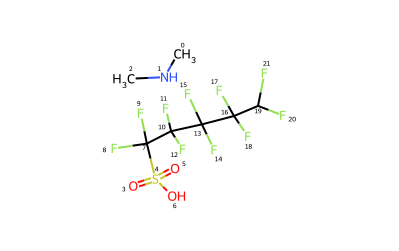 CNC.O=S(=O)(O)C(F)(F)C(F)(F)C(F)(F)C(F)(F)C(F)F